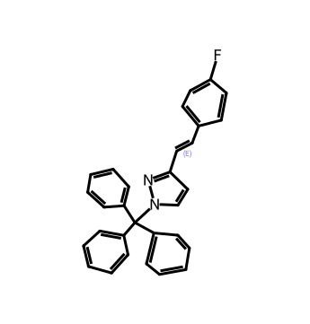 Fc1ccc(/C=C/c2ccn(C(c3ccccc3)(c3ccccc3)c3ccccc3)n2)cc1